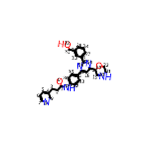 O=C(CCc1cccnc1)Nc1ccc(-c2cc(C3CNCCO3)nc(-c3cccc(CO)c3)n2)cc1